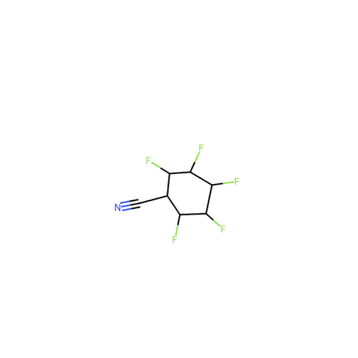 N#CC1C(F)C(F)C(F)C(F)C1F